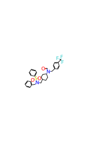 O=CN(Cc1ccc(C(F)(F)F)cc1)C1CCC(CN(Cc2ccccc2)S(=O)(=O)c2ccccc2)CC1